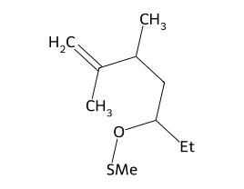 C=C(C)C(C)CC(CC)OSC